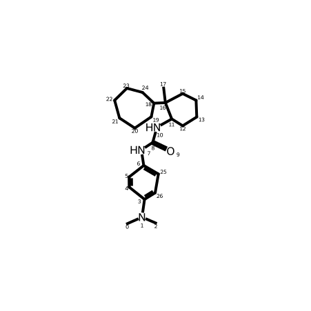 CN(C)c1ccc(NC(=O)NC2CCCCC2(C)C2CCCCCC2)cc1